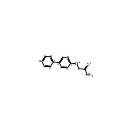 NC(=O)COc1ccc(-c2ccccc2)cc1